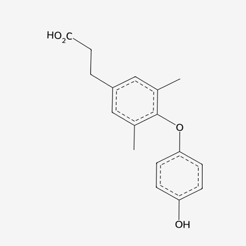 Cc1cc(CCC(=O)O)cc(C)c1Oc1ccc(O)cc1